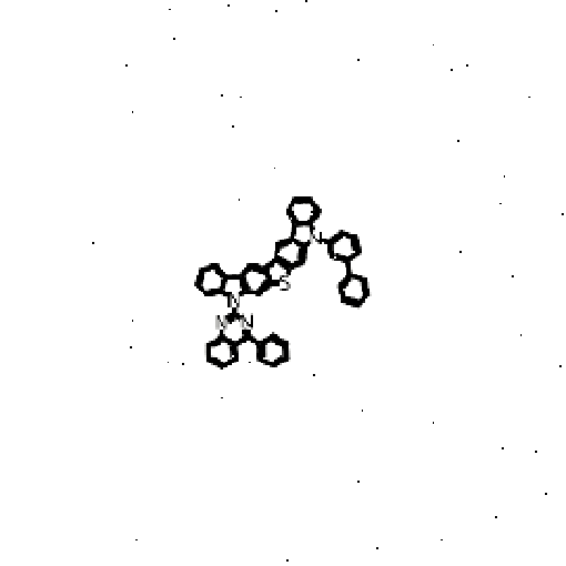 c1ccc(-c2cccc(-n3c4ccccc4c4cc5c(cc43)sc3cc4c(cc35)c3ccccc3n4-c3nc(-c4ccccc4)c4ccccc4n3)c2)cc1